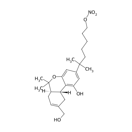 CC(C)(CCCCCO[N+](=O)[O-])c1cc(O)c2c(c1)OC(C)(C)[C@@H]1CC=C(CO)C[C@@H]21